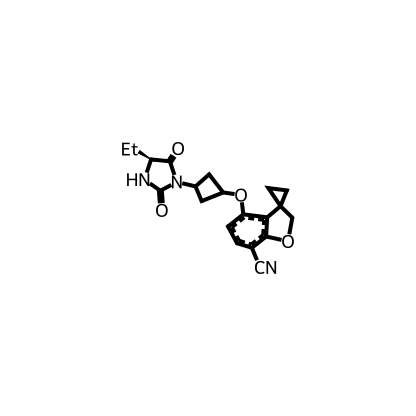 CC[C@@H]1NC(=O)N(C2CC(Oc3ccc(C#N)c4c3C3(CC3)CO4)C2)C1=O